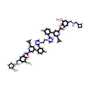 Cc1cc(CNCC2CCC2)cc2nc(-c3cc(-c4ccc(F)cc4-c4nncn4CCn4cnnc4-c4cc(F)ccc4-c4cc(-c5nc6cc(CN[C@@H]7CCC[C@@H]7O)cc(C)c6o5)nc(C5CC5)c4)cc(C4CC4)n3)oc12